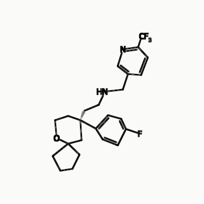 Fc1ccc([C@]2(CCNCc3ccc(C(F)(F)F)nc3)CCOC3(CCCC3)C2)cc1